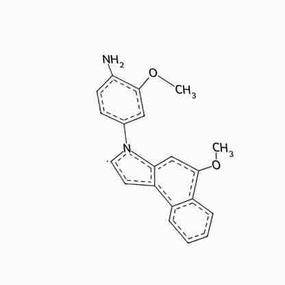 COc1cc(-n2[c]cc3c4ccccc4c(OC)cc32)ccc1N